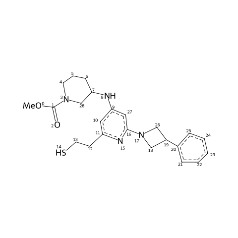 COC(=O)N1CCCC(Nc2cc(CCS)nc(N3CC(c4ccccc4)C3)c2)C1